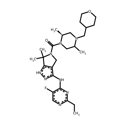 CCc1ncc(F)c(Nc2n[nH]c3c2CN(C(=O)N2CC(C)N(CC4CCOCC4)C[C@@H]2C)C3(C)C)n1